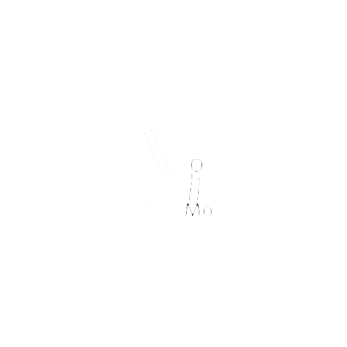 C=CC.[O]=[Mo]